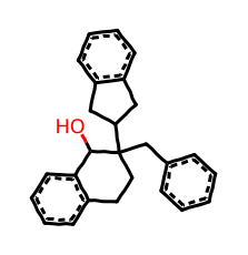 OC1c2ccccc2CCC1(Cc1ccccc1)C1Cc2ccccc2C1